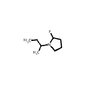 CCC(C)N1CCCC1F